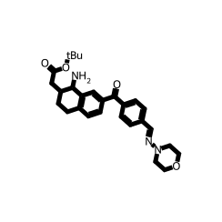 CC(C)(C)OC(=O)CC1CCc2ccc(C(=O)c3ccc(C=NN4CCOCC4)cc3)cc2C1N